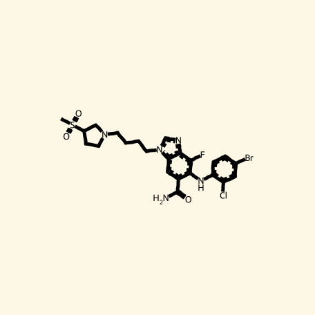 CS(=O)(=O)C1CCN(CCCCn2cnc3c(F)c(Nc4ccc(Br)cc4Cl)c(C(N)=O)cc32)C1